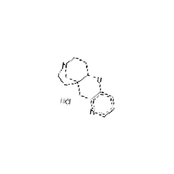 Cl.c1cnc2c(c1)OC1CCN3CCC1(C2)C3